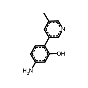 Cc1cncc(-c2ccc(N)cc2O)c1